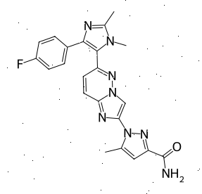 Cc1cc(C(N)=O)nn1-c1cn2nc(-c3c(-c4ccc(F)cc4)nc(C)n3C)ccc2n1